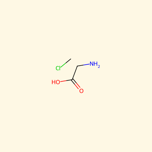 CCl.NCC(=O)O